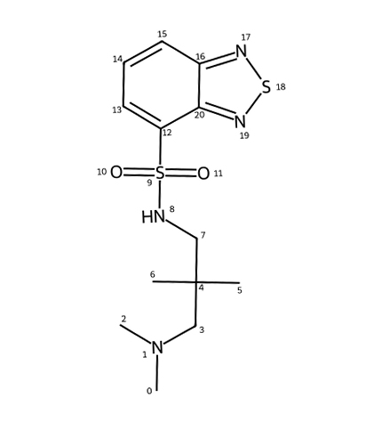 CN(C)CC(C)(C)CNS(=O)(=O)c1cccc2nsnc12